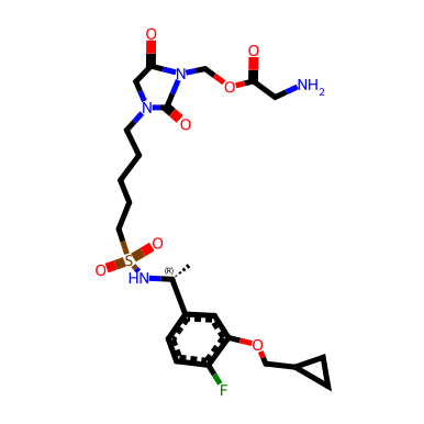 C[C@@H](NS(=O)(=O)CCCCCN1CC(=O)N(COC(=O)CN)C1=O)c1ccc(F)c(OCC2CC2)c1